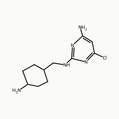 Nc1cc(Cl)nc(NCC2CCC(N)CC2)n1